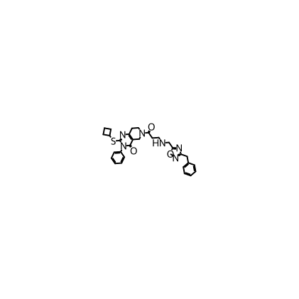 O=C(CCNCc1nc(Cc2ccccc2)no1)N1CCc2nc(SC3CCC3)n(-c3ccccc3)c(=O)c2C1